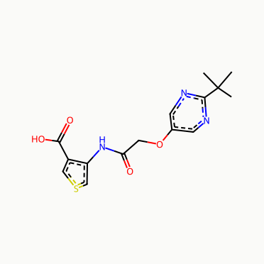 CC(C)(C)c1ncc(OCC(=O)Nc2cscc2C(=O)O)cn1